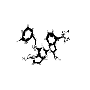 CC1Cc2c(B(O)O)cccc2N1c1nc2c(c(NCc3cccc(F)c3)n1)N(C)CC2